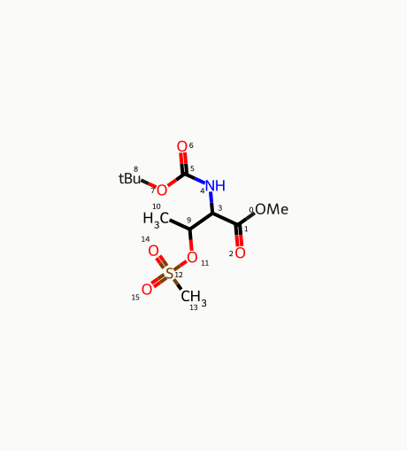 COC(=O)C(NC(=O)OC(C)(C)C)C(C)OS(C)(=O)=O